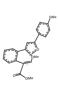 CO/C=C(/C(=O)OC)c1ccccc1-c1cc(-c2ccc(OC)cc2)on1